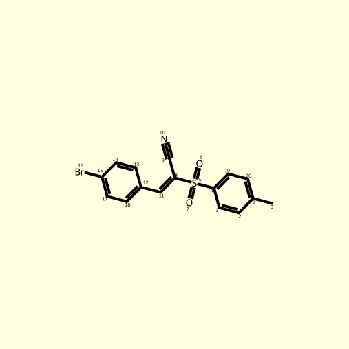 Cc1ccc(S(=O)(=O)C(C#N)=Cc2ccc(Br)cc2)cc1